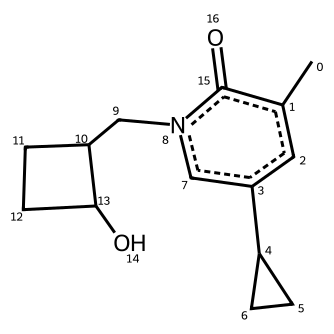 Cc1cc(C2CC2)cn(CC2CCC2O)c1=O